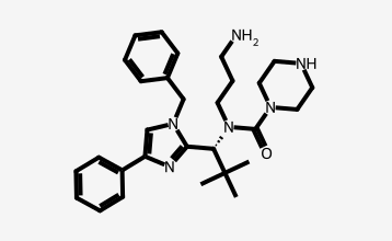 CC(C)(C)[C@H](c1nc(-c2ccccc2)cn1Cc1ccccc1)N(CCCN)C(=O)N1CCNCC1